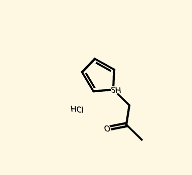 CC(=O)C[SH]1C=CC=C1.Cl